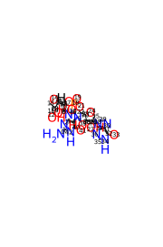 Nc1nc2c(ncn2[C@@H]2O[C@@]3(CO)CO[C@H]3[C@H]2OP(=O)(O)OC[C@H]2OC[C@](O)(n3cnc4c(=O)[nH]cnc43)[C@@H]2O)c(=O)[nH]1